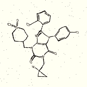 N#CC1(Cn2c(=O)c3c(nc(-c4ccccc4Cl)n3-c3ccc(Cl)cc3)n(CC3CCS(=O)(=O)CC3)c2=O)CC1